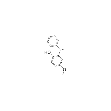 COc1ccc(O)c(C(C)c2ccccc2)c1